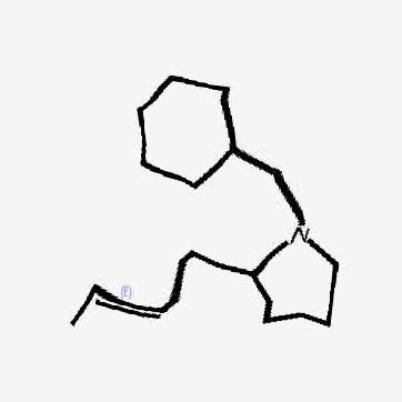 C/C=C/CC1CCCN1CC1CCCCC1